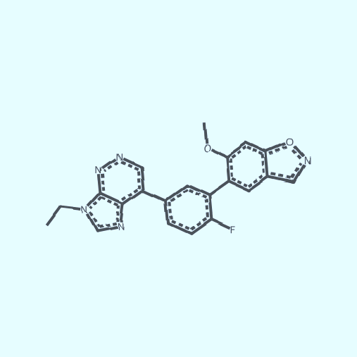 CCn1cnc2c(-c3ccc(F)c(-c4cc5cnoc5cc4OC)c3)cnnc21